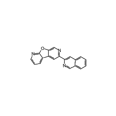 c1ccc2cc(-c3cc4c(cn3)oc3ncccc34)ncc2c1